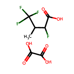 CC(C(F)C(=O)O)C(F)(F)F.O=C(O)C(=O)O